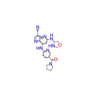 N#Cc1cnc2c(Nc3ccc(C(=O)N4CCCC4)cn3)cc(NC3COCN3)nn12